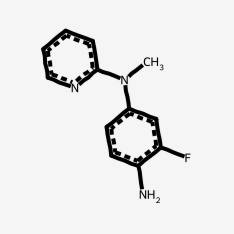 CN(c1ccc(N)c(F)c1)c1ccccn1